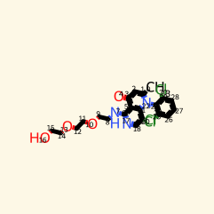 Cc1cc(=O)c2c(NCCOCCOCCO)ncc(Cl)c2n1-c1c(Cl)cccc1Cl